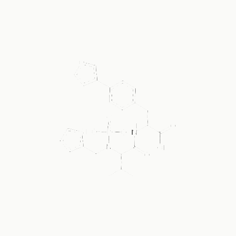 CC(C)C(C(=O)NC(Cc1ccc(-c2ccoc2)cc1)C(=O)O)N(Cc1cccs1)P(=O)(O)O